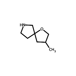 CC1COC2(CCNC2)C1